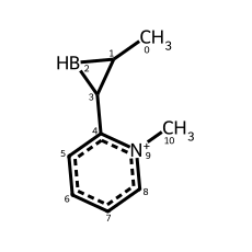 CC1BC1c1cccc[n+]1C